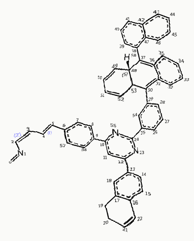 C=N/C=C\C=C\c1ccc(-c2cc(-c3ccc4c(c3)CCC=C4)nc(-c3cccc(C4=c5ccccc5=C(c5cccc6ccccc56)[C@H]5C=CC=CC45)c3)n2)cc1